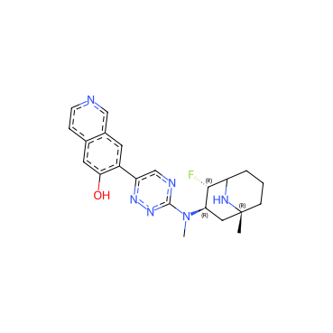 CN(c1ncc(-c2cc3cnccc3cc2O)nn1)[C@@H]1C[C@@]2(C)CCCC(N2)[C@H]1F